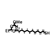 CCC(O[SiH2]CCCCCCCCCCS)OC(C)OC